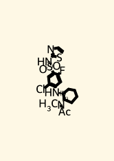 CC(=O)N(C)[C@H]1CCCC[C@@H]1Nc1cc(F)c(S(=O)(=O)Nc2nccs2)cc1Cl